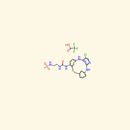 CS(=O)(=O)NCCNC(=O)Nc1ccc2cc1CCc1cccc(c1)Nc1ncc(Cl)c(n1)N2.O=C(O)C(F)(F)F